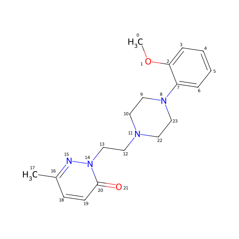 COc1ccccc1N1CCN(CCn2nc(C)ccc2=O)CC1